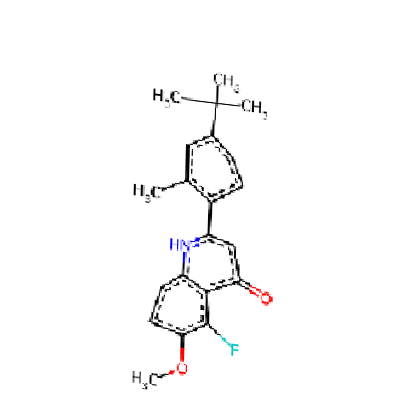 COc1ccc2[nH]c(-c3ccc(C(C)(C)C)cc3C)cc(=O)c2c1F